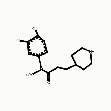 CCCN(C(=O)CCC1CCNCC1)c1ccc(Cl)c(Cl)c1